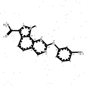 Cn1nc(C(N)=O)c2ccc3cnc(Oc4cccc(N)c4)nc3c21